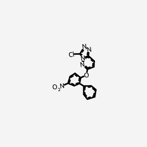 O=[N+]([O-])c1ccc(Oc2ccc3nnc(Cl)n3n2)c(-c2ccccc2)c1